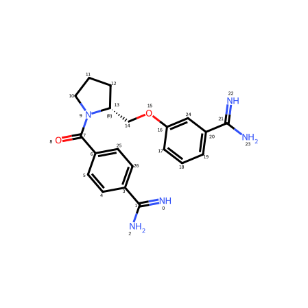 N=C(N)c1ccc(C(=O)N2CCC[C@@H]2COc2cccc(C(=N)N)c2)cc1